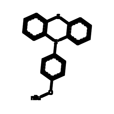 CCCCOc1ccc([S+]2c3ccccc3Sc3ccccc32)cc1